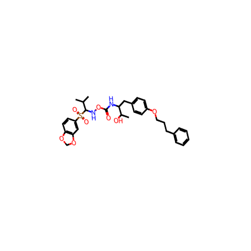 CC(C)C(NOC(=O)NC(Cc1ccc(OCCCc2ccccc2)cc1)C(C)O)S(=O)(=O)c1ccc2c(c1)OCO2